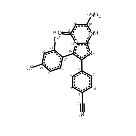 N#Cc1ccc(-c2nc3[nH]c(N)cc(=O)n3c2-c2ccc(F)cc2F)cc1